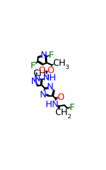 C=C(CCF)NC(=O)c1cnc(-c2cnn(C)c2NC(=O)O[C@H](C)c2cc(F)cnc2F)nc1